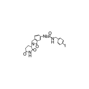 O=C(CNc1ccc2c(c1)C(=O)N(C1CCC(=O)NC1=O)C2)NCc1ccc(I)cc1